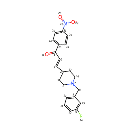 O=C(C=CC1CCN(Cc2cccc(F)c2)CC1)c1ccc([N+](=O)[O-])cc1